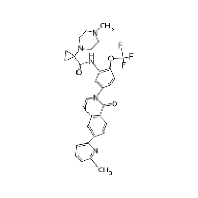 Cc1cccc(-c2ccc3c(=O)n(-c4ccc(OC(F)(F)F)c(NC(=O)C5(N6CCN(C)CC6)CC5)c4)cnc3c2)n1